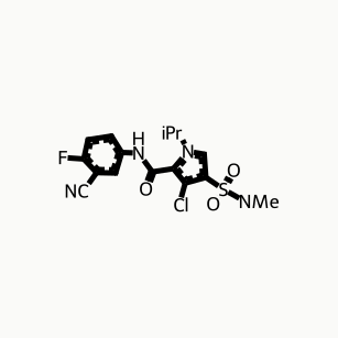 CNS(=O)(=O)c1cn(C(C)C)c(C(=O)Nc2ccc(F)c(C#N)c2)c1Cl